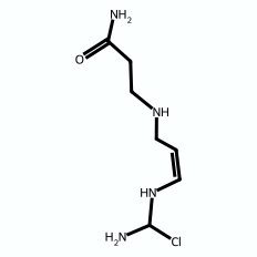 NC(=O)CCNC/C=C\NC(N)Cl